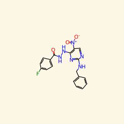 O=C(NNc1nc(NCc2ccccc2)ncc1[N+](=O)[O-])c1ccc(F)cc1